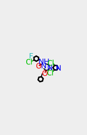 O=C(Nc1ccc(F)c(Cl)c1)N1CCN(c2c(Cl)cncc2Cl)CC(OCc2ccccc2)C1